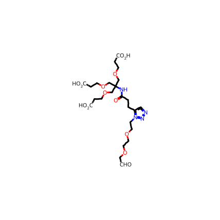 O=CCOCCOCCn1nncc1CCC(=O)NC(COCCC(=O)O)(COCCC(=O)O)COCCC(=O)O